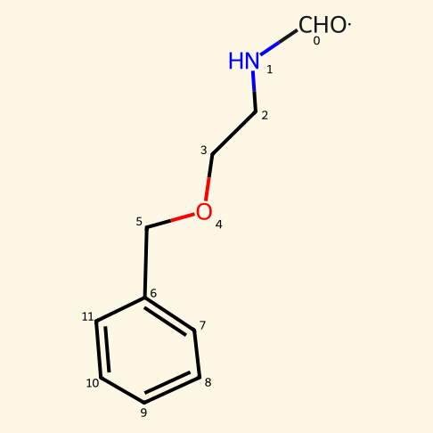 O=[C]NCCOCc1ccccc1